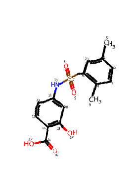 Cc1ccc(C)c(S(=O)(=O)Nc2ccc(C(=O)O)c(O)c2)c1